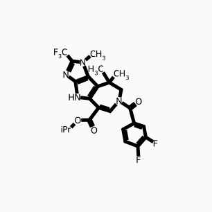 CC(C)OC(=O)C1=CN(C(=O)c2ccc(F)c(F)c2)CC(C)(C)c2c1[nH]c1nc(C(F)(F)F)n(C)c21